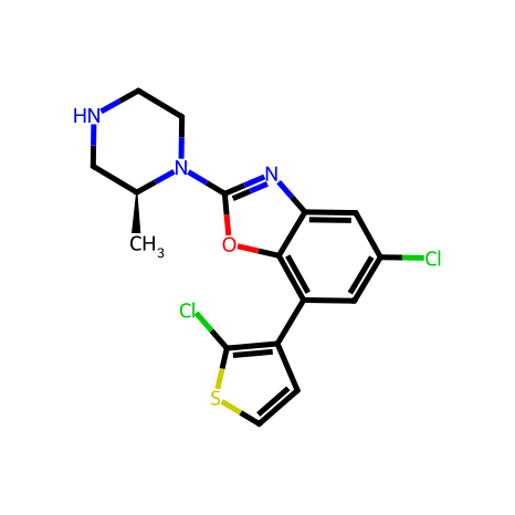 C[C@H]1CNCCN1c1nc2cc(Cl)cc(-c3ccsc3Cl)c2o1